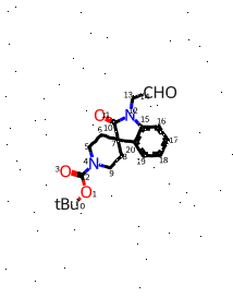 CC(C)(C)OC(=O)N1CCC2(CC1)C(=O)N(CC=O)c1ccccc12